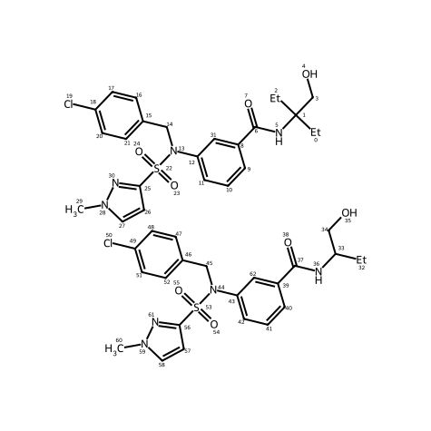 CCC(CC)(CO)NC(=O)c1cccc(N(Cc2ccc(Cl)cc2)S(=O)(=O)c2ccn(C)n2)c1.CCC(CO)NC(=O)c1cccc(N(Cc2ccc(Cl)cc2)S(=O)(=O)c2ccn(C)n2)c1